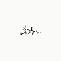 CCCC(=O)Nc1ccc(C#N)c(C(F)(F)F)c1